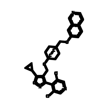 Clc1cncc(Cl)c1-c1noc(C2CC2)c1COC12CCC(COc3ccc4ccncc4c3)(CC1)CC2